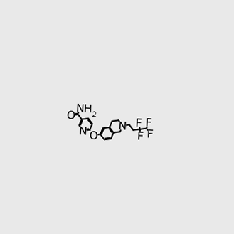 NC(=O)c1ccc(Oc2ccc3c(c2)CCN(CCC(F)(F)C(F)F)C3)nc1